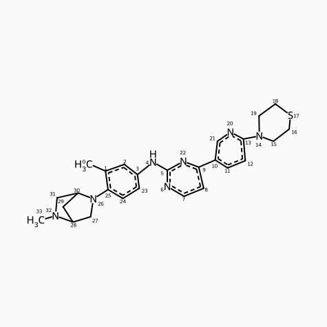 Cc1cc(Nc2nccc(-c3ccc(N4CCSCC4)nc3)n2)ccc1N1CC2CC1CN2C